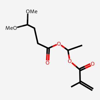 C=C(C)C(=O)OC(C)OC(=O)CCC(OC)OC